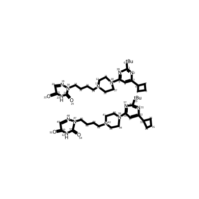 CC(C)(C)c1nc(C2CCC2)cc(N2CCN(CCCCn3ncc(=O)[nH]c3=O)CC2)n1.CC(C)(C)c1nc(C2CCC2)cc(N2CCN(CCCCn3ncc(=O)[nH]c3=O)CC2)n1